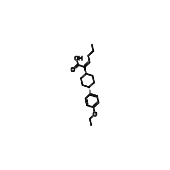 CCCC=C(C(=O)O)[C@H]1CC[C@H](c2ccc(OCC)cc2)CC1